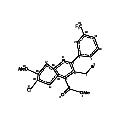 COC(=O)c1c(CBr)c(-c2cccc(C(F)(F)F)c2)nc2cc(OC)c(Cl)cc12